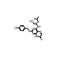 CC(C)C[C@H](CO)Nc1nc(OCc2ccc(Cl)cc2)nc2[nH]c(=O)cnc12